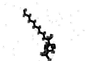 CCCCCCCCCCC(C)C1=NC(C(C)C)CO1